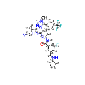 Cn1cnnc1-c1ccc(C(F)(F)F)cc1-c1cc(NCC2(CC#N)CC2)nc(N2Cc3c(F)cc(CNC4CCCC4)cc3C2=O)c1